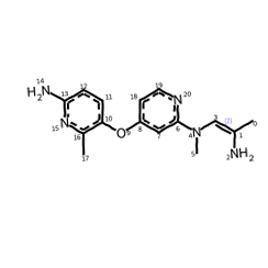 C/C(N)=C/N(C)c1cc(Oc2ccc(N)nc2C)ccn1